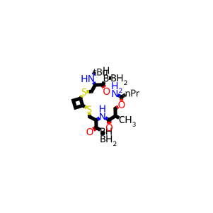 BBC(=O)C(CSC1CCC1SCC(NC(C)(C)C)C(=O)BB)NC(=O)C(C)COC(N)CCC